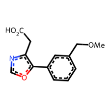 COCc1cccc(-c2ocnc2CC(=O)O)c1